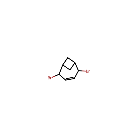 BrC1C=CC(Br)C2CC1C2